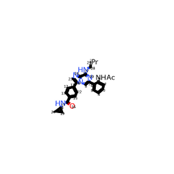 CC(=O)Nc1ccccc1-c1cn2c(-c3ccc(C(=O)NC4CC4)cc3)cnc2c(NCC(C)C)n1